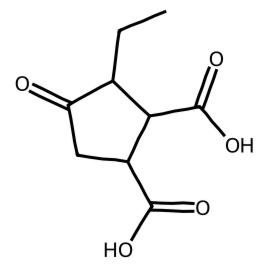 CCC1C(=O)CC(C(=O)O)C1C(=O)O